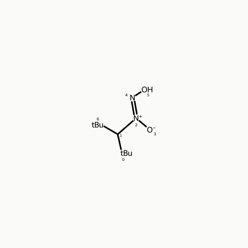 CC(C)(C)C(/[N+]([O-])=N/O)C(C)(C)C